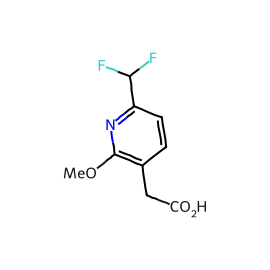 COc1nc(C(F)F)ccc1CC(=O)O